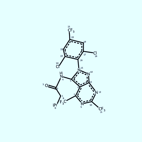 CC(C)CC(=O)Nc1c2c(C(F)(F)F)nc(C(F)(F)F)nc2nn1-c1c(Cl)cc(C(F)(F)F)cc1Cl